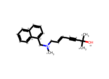 CN(CC=CC#CC(C)(C)O)Cc1cccc2ccccc12